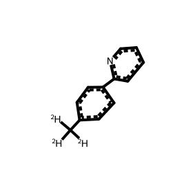 [2H]C([2H])([2H])c1ccc(-c2ccccn2)cc1